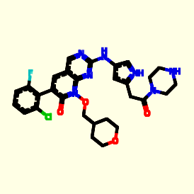 O=C(Cc1cc(Nc2ncc3cc(-c4c(F)cccc4Cl)c(=O)n(OCC4CCOCC4)c3n2)c[nH]1)N1CCNCC1